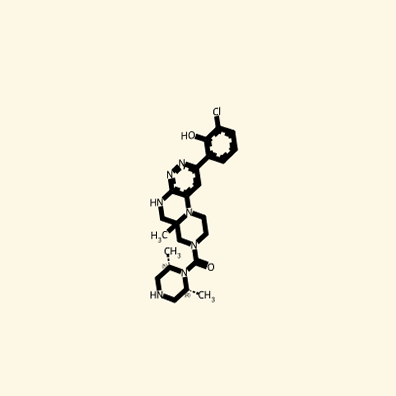 C[C@@H]1CNC[C@H](C)N1C(=O)N1CCN2c3cc(-c4cccc(Cl)c4O)nnc3NCC2(C)C1